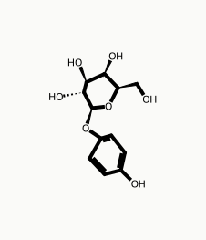 OC[C@H]1O[C@@H](Oc2ccc(O)cc2)[C@H](O)[C@@H](O)[C@H]1O